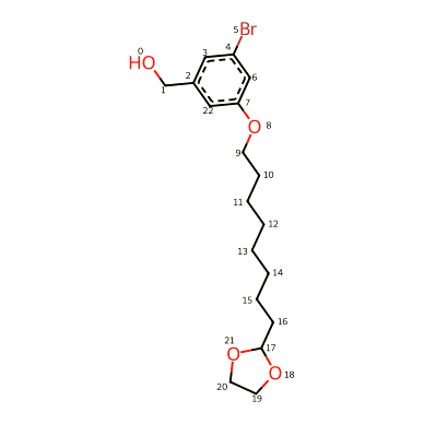 OCc1cc(Br)cc(OCCCCCCCCC2OCCO2)c1